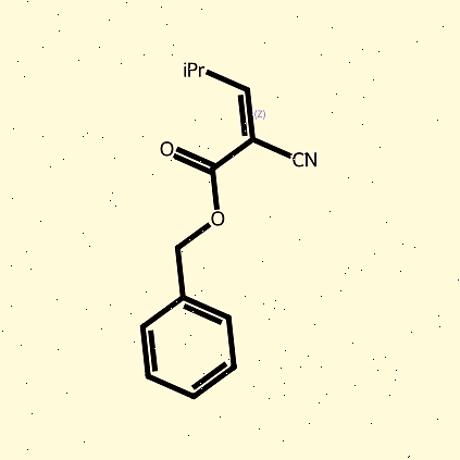 CC(C)/C=C(/C#N)C(=O)OCc1ccccc1